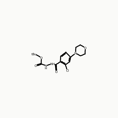 CC(C)(C)OC(=O)NNC(=O)c1ccc(N2CCOCC2)cc1Cl